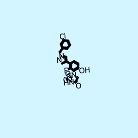 O=C1CN(c2c(O)ccc(-c3cnn(Cc4cccc(Cl)c4)c3)c2F)S(=O)(=O)N1